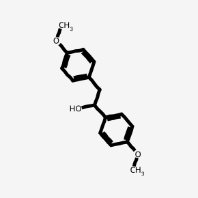 COc1ccc(CC(O)c2ccc(OC)cc2)cc1